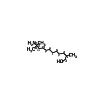 CC(CO)CCCCCCCCC(C)(C)N